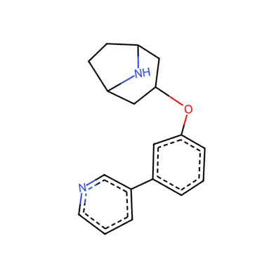 c1cncc(-c2cccc(OC3CC4CCC(C3)N4)c2)c1